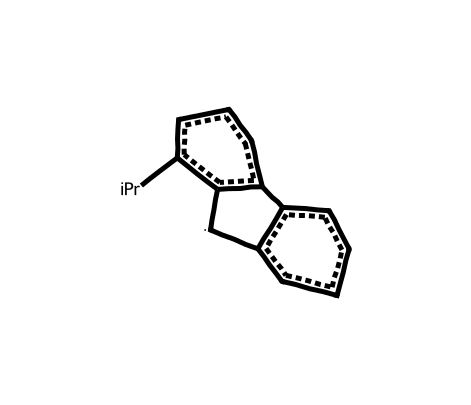 CC(C)c1cccc2c1[CH]c1ccccc1-2